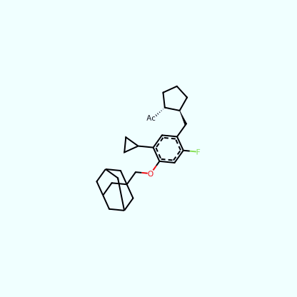 CC(=O)[C@@H]1CCC[C@H]1Cc1cc(C2CC2)c(OCC23CC4CC(CC(C4)C2)C3)cc1F